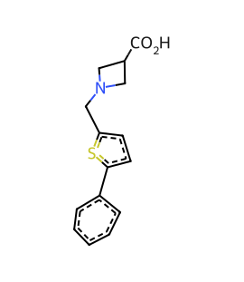 O=C(O)C1CN(Cc2ccc(-c3ccccc3)s2)C1